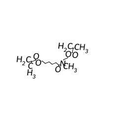 C=C(C)C(=O)OCCCCCC(=O)N(C)CCOC(=O)C(=C)C